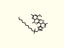 CCCCCCCCCCC(C)(C)Cn1nnc(C(NC(C)=O)C(=O)NN2C(SC)=CC(C)=NC2SC)n1